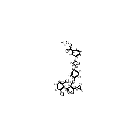 COC(=O)c1cccc([C@@H]2C[C@@H](c3ccc(OCc4c(-c5c(Cl)cccc5Cl)noc4C4CC4)cc3)O2)c1